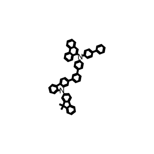 CC1(C)c2ccccc2-c2ccc(-n3c4ccccc4c4ccc(-c5cccc(-c6ccc(N(c7ccc(-c8ccccc8)cc7)c7cc8ccccc8c8ccccc78)cc6)c5)cc43)cc21